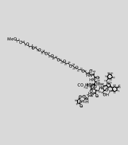 COCCOCCOCCOCCOCCOCCOCCOCCOCCOCCOCCOCCC(=O)N[C@@H](C)C(=O)N[C@H](C)C(=O)N[C@@H](CC(=O)O)C(=O)N[C@@H](CCN(C(=O)CO)[C@@H](c1cc(-c2cc(F)ccc2F)cn1Cc1ccccc1)C(C)(C)C)C(=O)NCCNC(=O)CN1C(=O)C=CC1=O